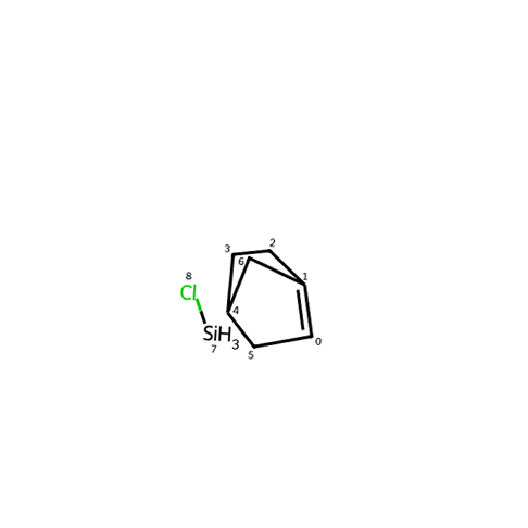 C1=C2CCC(C1)C2.[SiH3]Cl